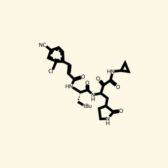 CC(C)(C)C[C@H](NC(=O)/C=C/c1ccc(C#N)cc1Cl)C(=O)NC(CC1CCNC1=O)C(=O)C(=O)NC1CC1